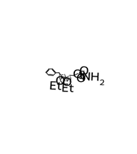 CCC1(CC)O[C@@H](CCOS(N)(=O)=O)[C@H](Cc2ccccc2)O1